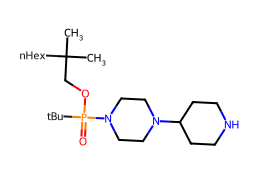 CCCCCCC(C)(C)COP(=O)(N1CCN(C2CCNCC2)CC1)C(C)(C)C